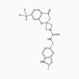 Cc1cc2cc(CNC(=O)N3CC4(CC(=O)c5ccc(C(F)(F)F)cc5O4)C3)ccc2[nH]1